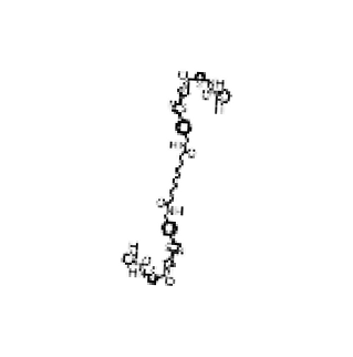 O=C(CCCCCCCCC(=O)NCc1ccc(-c2cnc(C3CN(C(=O)c4ccc(NC(=O)[C@@H]5CCCN5)s4)C3)s2)cc1)NCc1ccc(-c2cnc(C3CN(C(=O)c4ccc(NC(=O)[C@@H]5CCCN5)s4)C3)s2)cc1